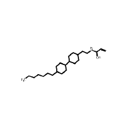 C=CC(O)NCCC1CCC(C2CCC(CCCCCCC(F)(F)F)CC2)CC1